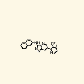 FC(F)(F)c1cccnc1-c1cnn2c(Nc3ccc4ccccc4c3)nnc2c1